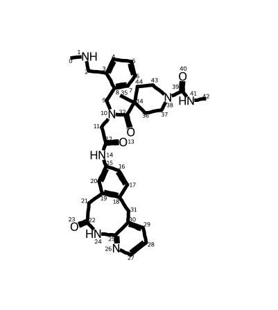 CNCc1ccccc1CN(CC(=O)Nc1ccc2c(c1)CC(=O)Nc1ncccc1C2)C(=O)C1(C)CCN(C(=O)NC)CC1